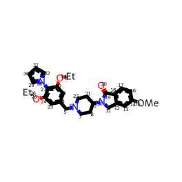 CCOc1cc(CN2CCC(N3Cc4cc(OC)ccc4C3=O)CC2)cc(OCC)c1-n1cccc1